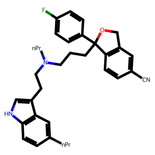 CCCc1ccc2[nH]cc(CCN(CCC)CCCC3(c4ccc(F)cc4)OCc4cc(C#N)ccc43)c2c1